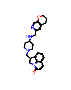 O=c1ccc2cccc3c2n1CC3CN1CCC(NCc2cc3c(cn2)OCCC3)CC1